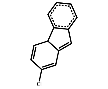 ClC1=CC2=Cc3ccccc3C2C=C1